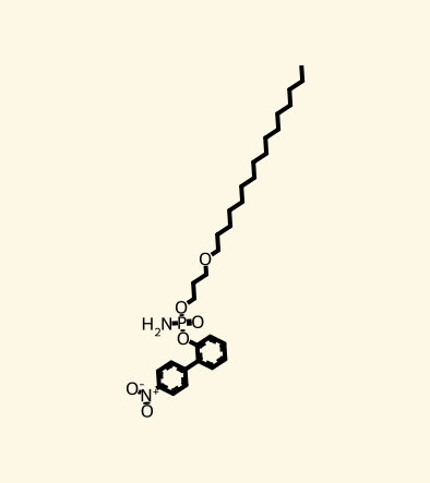 CCCCCCCCCCCCCCCCOCCCOP(N)(=O)Oc1ccccc1-c1ccc([N+](=O)[O-])cc1